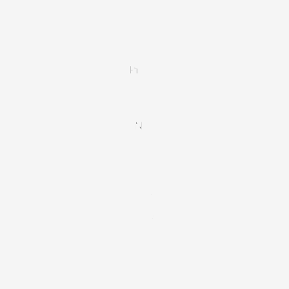 CC(C)C1CN(c2ccc(Cl)cc2)C1